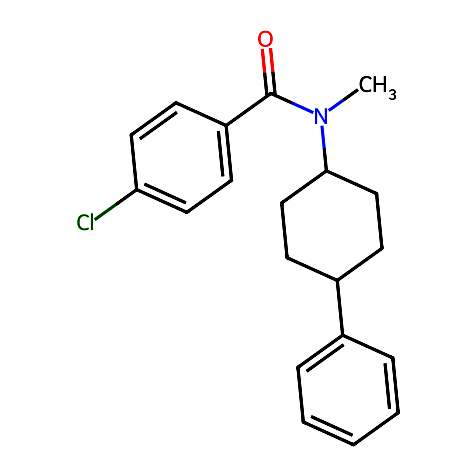 CN(C(=O)c1ccc(Cl)cc1)C1CCC(c2ccccc2)CC1